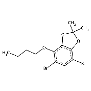 CCCCOc1c(Br)cc(Br)c2c1OC(C)(C)O2